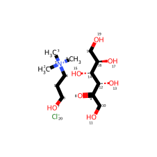 C[N+](C)(C)CCCO.O=C(CO)[C@@H](O)[C@H](O)[C@H](O)CO.[Cl-]